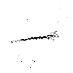 CCCCC/C=C/C/C=C/C/C=C/C/C=C/C/C=C/CC([C]=O)([N+](=O)[O-])[N+](=O)[O-]